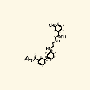 O=C(ON1CC1)c1cccc(-c2cccc(NCCNC[C@H](O)c3cccc(Cl)c3)c2)c1